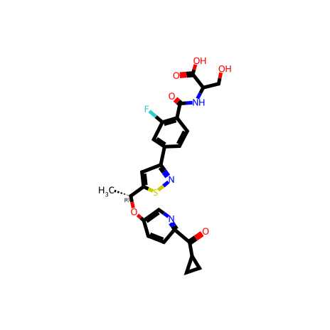 C[C@@H](Oc1ccc(C(=O)C2CC2)nc1)c1cc(-c2ccc(C(=O)NC(CO)C(=O)O)c(F)c2)ns1